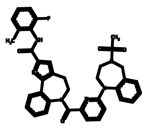 Cc1cccc(F)c1NC(=O)c1cc2c(s1)-c1ccccc1N(C(=O)c1cccc(N3CCN(S(C)(=O)=O)Cc4ccccc43)n1)CC2